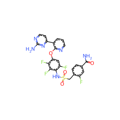 NC(=O)c1ccc(CS(=O)(=O)Nc2c(F)cc(Oc3ncccc3-c3ccnc(N)n3)c(F)c2F)c(F)c1